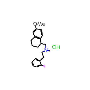 COc1ccc2c(c1)CCCC2CN(C)CCc1ccccc1I.Cl